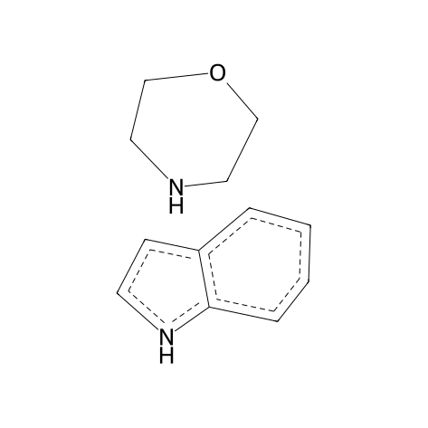 C1COCCN1.c1ccc2[nH]ccc2c1